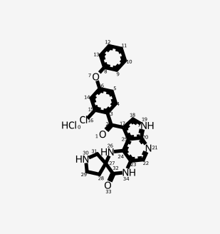 Cl.O=C(c1ccc(Oc2ccccc2)cc1Cl)c1c[nH]c2ncc3c(c12)NC1(CCNC1)C(=O)N3